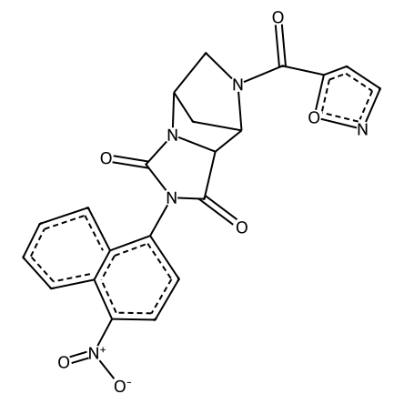 O=C1C2C3CC(CN3C(=O)c3ccno3)N2C(=O)N1c1ccc([N+](=O)[O-])c2ccccc12